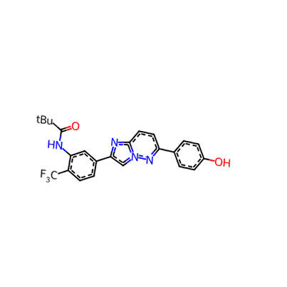 CC(C)(C)C(=O)Nc1cc(-c2cn3nc(-c4ccc(O)cc4)ccc3n2)ccc1C(F)(F)F